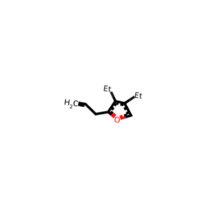 C=CCc1occ(CC)c1CC